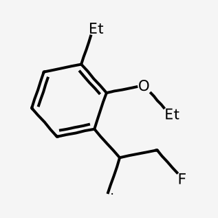 [CH2]C(CF)c1cccc(CC)c1OCC